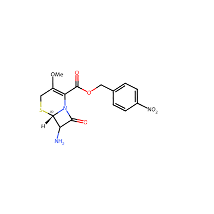 COC1=C(C(=O)OCc2ccc([N+](=O)[O-])cc2)N2C(=O)C(N)[C@@H]2SC1